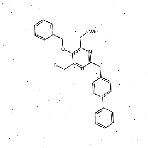 COCc1nc(Cc2ccc(-c3ccccc3)cc2)nc(CF)c1OCc1ccccc1